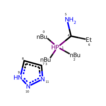 CCCC[PH](CCCC)(CCCC)C(N)CC.c1c[nH]nn1